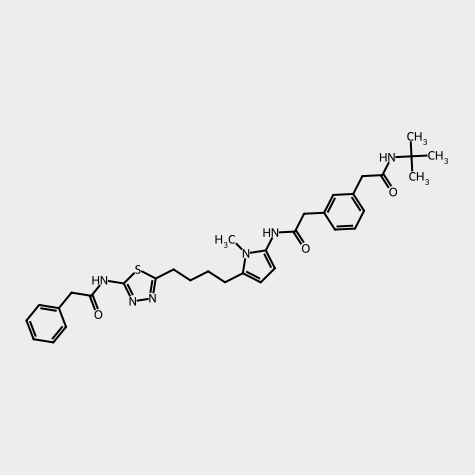 Cn1c(CCCCc2nnc(NC(=O)Cc3ccccc3)s2)ccc1NC(=O)Cc1cccc(CC(=O)NC(C)(C)C)c1